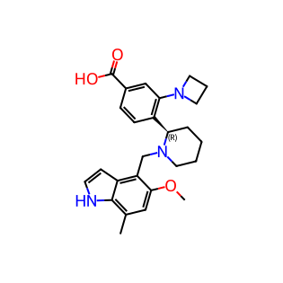 COc1cc(C)c2[nH]ccc2c1CN1CCCC[C@@H]1c1ccc(C(=O)O)cc1N1CCC1